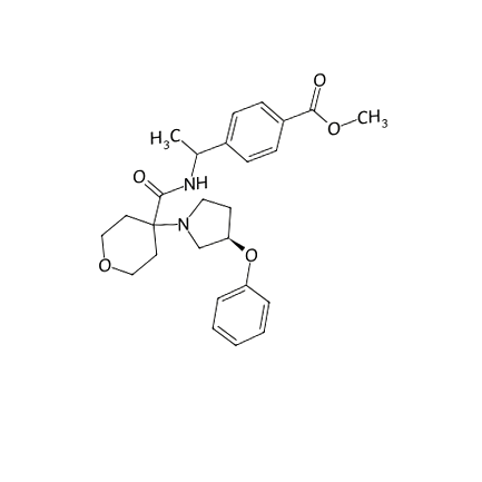 COC(=O)c1ccc(C(C)NC(=O)C2(N3CC[C@@H](Oc4ccccc4)C3)CCOCC2)cc1